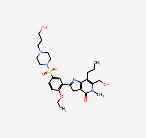 CCCc1c2c(c(=O)n(C)c1CO)CC(c1cc(S(=O)(=O)N3CCN(CCCO)CC3)ccc1OCC)=N2